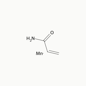 C=CC(N)=O.[Mn]